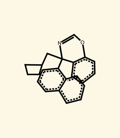 C1=NC(CC2CCC2)(c2cccc3ccccc23)c2ccccc2O1